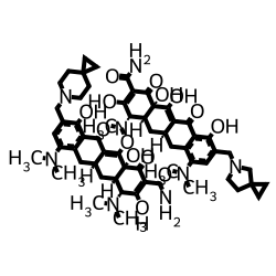 CN(C)c1cc(CN2CCC3(CC2)CC3)c(O)c2c1C[C@H]1C[C@H]3[C@H](N(C)C)C(O)=C(C(N)=O)C(=O)[C@@]3(O)C(ON(C)[C@@H]3C(O)=C(C(N)=O)C(=O)[C@@]4(O)C(O)=C5C(=O)c6c(O)c(CN7CCC8(CC8)C7)cc(N(C)C)c6C[C@H]5C[C@@H]34)=C1C2=O